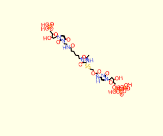 CC(=O)NC(SSCCOC(=O)Nc1ccn(C2CC(O)C(COP(=O)(O)OP(=O)(O)OP(=O)(O)O)O2)c(=O)n1)C(=O)NCCCCCC(=O)NCCn1c(=O)ccn(C2CC(O)C(COP(=O)(O)O)O2)c1=O